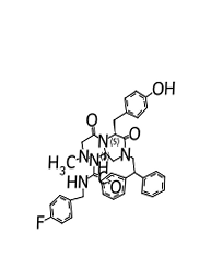 CN1CC(=O)N2[C@@H](Cc3ccc(O)cc3)C(=O)N(CC(c3ccccc3)c3ccccc3)C[C@@H]2N1C(=C=O)NCc1ccc(F)cc1